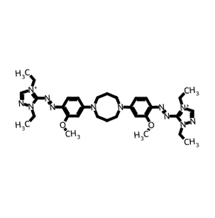 CCn1nc[n+](CC)c1N=Nc1ccc(N2CCCN(c3ccc(N=Nc4n(CC)nc[n+]4CC)c(OC)c3)CCC2)cc1OC